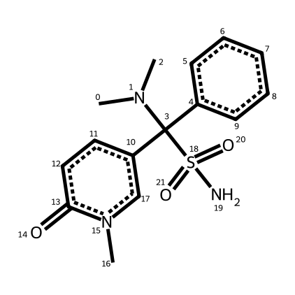 CN(C)C(c1ccccc1)(c1ccc(=O)n(C)c1)S(N)(=O)=O